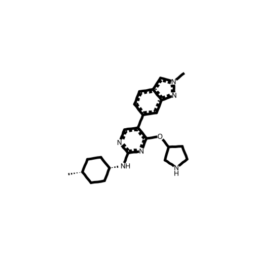 Cn1cc2ccc(-c3cnc(N[C@H]4CC[C@@H](C)CC4)nc3OC3CCNC3)cc2n1